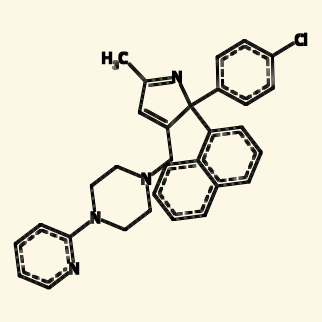 CC1=NC(c2ccc(Cl)cc2)(c2cccc3ccccc23)C(CN2CCN(c3ccccn3)CC2)=C1